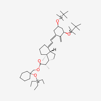 C=C1/C(=C\C=C2/CCC[C@]3(C)[C@@H]([C@H](C)C(=O)OCC4(O[Si](CC)(CC)CC)CCCCC4)CC[C@@H]23)C[C@@H](O[Si](C)(C)C(C)(C)C)C[C@H]1O[Si](C)(C)C(C)(C)C